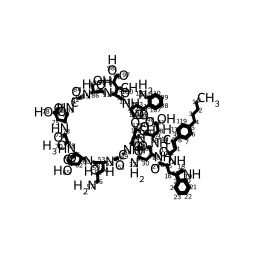 CCCCCc1ccc(/C(C)=C/C(=O)NC(Cc2c[nH]c3ccccc23)C(=O)NC(CC(N)=O)C(=O)NC(CC(=O)O)C(=O)NC2C(=O)NCC(=O)NC(CCCN)C(=O)NC(CC(=O)O)C(=O)NC(C)C(=O)NC(CC(=O)O)C(=O)NCC(=O)NC(CO)C(=O)NC(C(C)CC(=O)O)C(=O)NC(CC(=O)c3ccccc3N)C(=O)OC2C)cc1